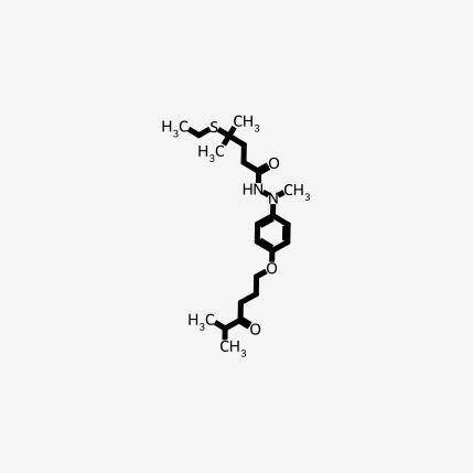 CCSC(C)(C)CCC(=O)NN(C)c1ccc(OCCCC(=O)C(C)C)cc1